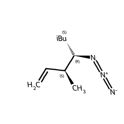 C=C[C@H](C)[C@H](N=[N+]=[N-])[C@@H](C)CC